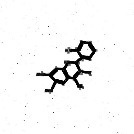 COc1cc2c(cc1OC)C(C)=[N+]([O-])C(c1ccccc1N)N2